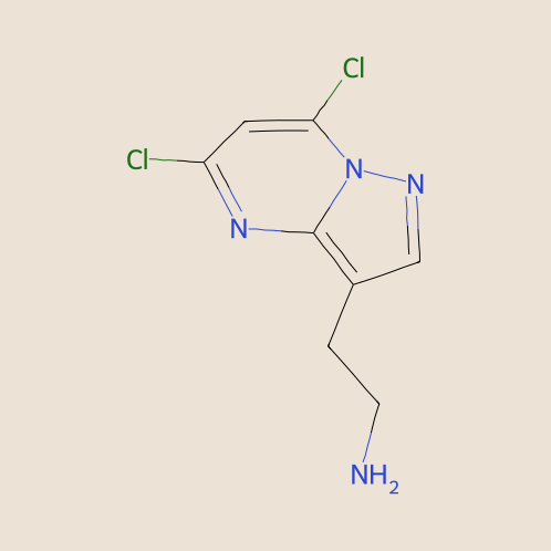 NCCc1cnn2c(Cl)cc(Cl)nc12